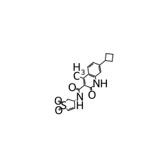 Cc1c(C(=O)N[C@@H]2C=CS(=O)(=O)C2)c(=O)[nH]c2cc(C3CCC3)ccc12